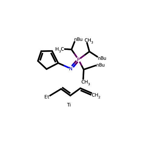 C=CC=CCC.CCCCC(C)P(=NC1=CC=CC1)(C(C)CCCC)C(C)CCCC.[Ti]